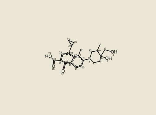 Cc1c(N2CCC(O)(CO)C(C)C2)ccc2c(=O)c(C(=O)O)cn(C3CC3)c12